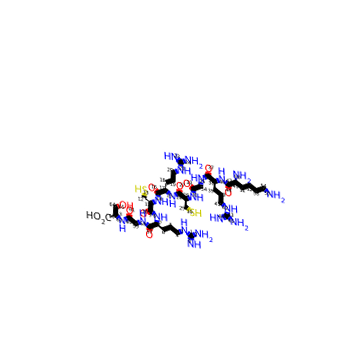 N=C(N)NCCC[C@H](NC(=O)[C@H](CS)NC(=O)[C@H](CCCNC(=N)N)NC(=O)[C@H](CS)NC(=O)CNC(=O)[C@H](CCCNC(=N)N)NC(=O)[C@@H](N)CCCCN)C(=O)NCC(=O)N[C@@H](CO)C(=O)O